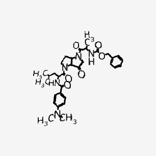 CC(C)CC(NC(=O)c1ccc(N(C)C)cc1)C(=O)N1CCC2C1C(=O)CN2C(=O)C(C)NC(=O)OCc1ccccc1